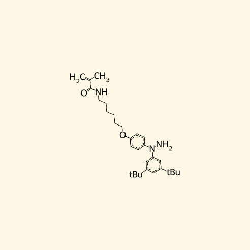 C=C(C)C(=O)NCCCCCCOc1ccc(N(N)c2cc(C(C)(C)C)cc(C(C)(C)C)c2)cc1